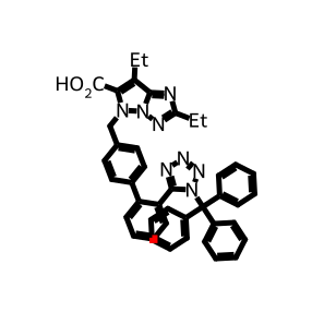 CCc1nc2c(CC)c(C(=O)O)n(Cc3ccc(-c4ccccc4-c4nnnn4C(c4ccccc4)(c4ccccc4)c4ccccc4)cc3)n2n1